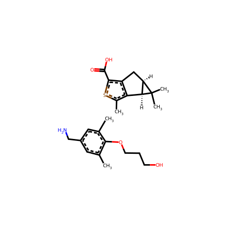 Cc1cc(CN)cc(C)c1OCCCO.Cc1sc(C(=O)O)c2c1[C@H]1[C@@H](C2)C1(C)C